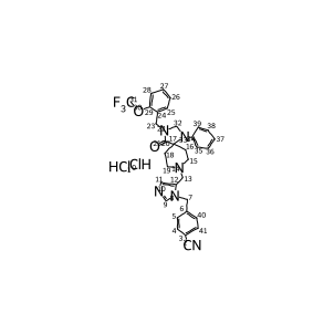 Cl.Cl.N#Cc1ccc(Cn2cncc2CN2CCC3(CC2)C(=O)N(Cc2ccccc2OC(F)(F)F)CN3c2ccccc2)cc1